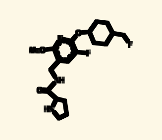 COc1nc(OC2CCC(CF)CC2)c(F)cc1CNC(=O)C1CCCN1